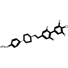 CCCCCc1ccc([C@H]2CC[C@H](CCc3cc(F)c(-c4cc(F)c(Cl)c(F)c4)c(F)c3)CC2)cc1